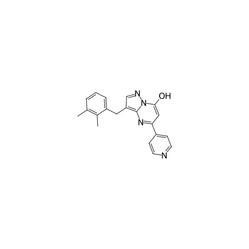 Cc1cccc(Cc2cnn3c(O)cc(-c4ccncc4)nc23)c1C